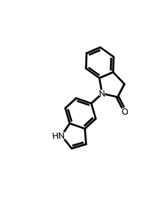 O=C1Cc2ccccc2N1c1ccc2[nH]ccc2c1